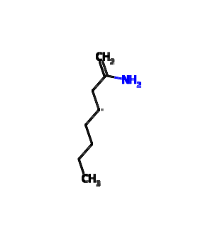 C=C(N)C[CH]CCCC